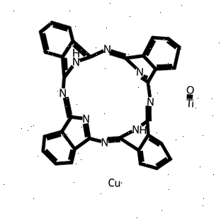 [Cu].[O]=[Ti].c1ccc2c(c1)-c1nc-2nc2[nH]c(nc3nc(nc4[nH]c(n1)c1ccccc41)-c1ccccc1-3)c1ccccc21